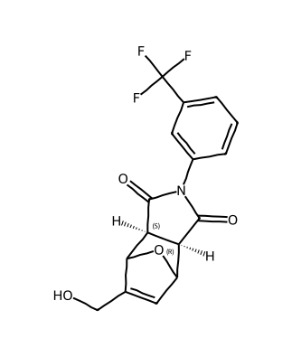 O=C1[C@@H]2C3OC(C=C3CO)[C@@H]2C(=O)N1c1cccc(C(F)(F)F)c1